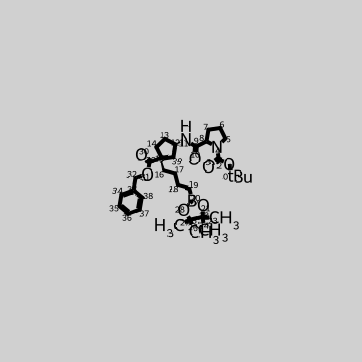 CC(C)(C)OC(=O)N1CCCC1C(=O)N[C@H]1CC[C@@](CCCCB2OC(C)(C)C(C)(C)O2)(C(=O)OCc2ccccc2)C1